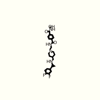 O=C(NO)c1ccc(C(=O)NCCN2CCC(CNC3CC3c3ccc(F)c(F)c3)CC2)cc1